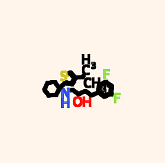 CC(C)c1csc(C2(NC[C@@H](O)CCc3cc(F)cc(F)c3)CCCCC2)c1